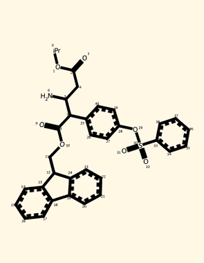 CC(C)OC(=O)CC(N)C(C(=O)OCC1c2ccccc2-c2ccccc21)c1ccc(OS(=O)(=O)c2ccccc2)cc1